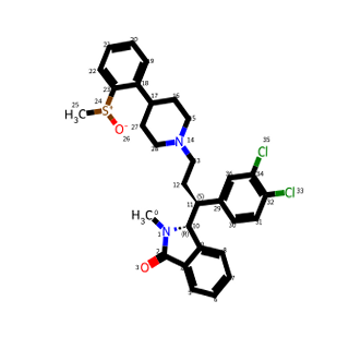 CN1C(=O)c2ccccc2[C@H]1[C@@H](CCN1CCC(c2ccccc2[S+](C)[O-])CC1)c1ccc(Cl)c(Cl)c1